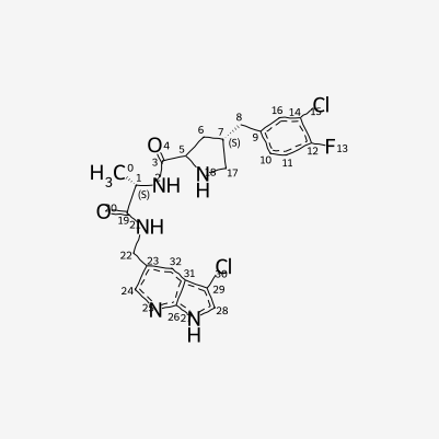 C[C@H](NC(=O)C1C[C@H](Cc2ccc(F)c(Cl)c2)CN1)C(=O)NCc1cnc2[nH]cc(Cl)c2c1